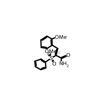 COc1cccc(OC)c1/C=C(/C(N)=O)S(=O)(=O)c1ccccc1